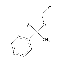 CC(C)(OC=O)c1ccncn1